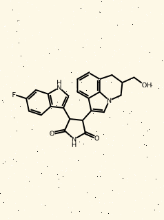 O=C1NC(=O)C(c2cn3c4c(cccc24)CC(CO)C3)C1c1c[nH]c2cc(F)ccc12